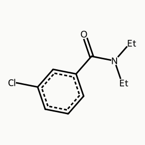 CCN(CC)C(=O)c1cccc(Cl)c1